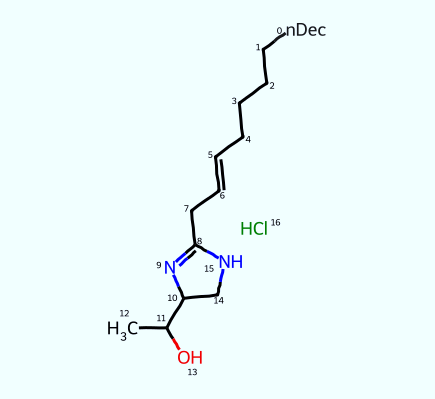 CCCCCCCCCCCCCCC=CCC1=NC(C(C)O)CN1.Cl